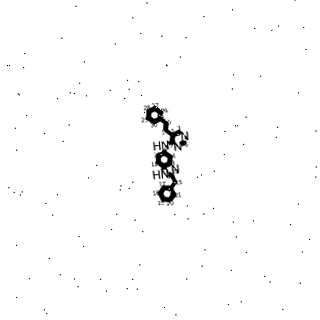 C(=C\c1cncnc1Nc1ccc2[nH]c(Cc3ccccc3)nc2c1)/c1ccccc1